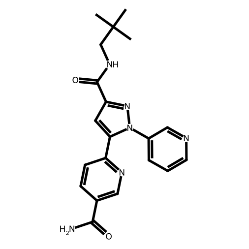 CC(C)(C)CNC(=O)c1cc(-c2ccc(C(N)=O)cn2)n(-c2cccnc2)n1